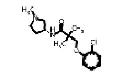 CN1CC[C@@H](NC(=O)C(C)(C)COc2ccccc2Cl)C1